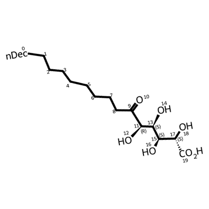 CCCCCCCCCCCCCCCCCCC(=O)[C@H](O)[C@@H](O)[C@H](O)[C@H](O)C(=O)O